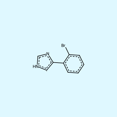 Brc1ccccc1-c1[c][nH]cn1